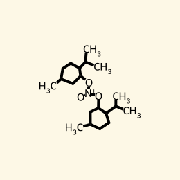 CC1CCC(C(C)C)C(O[N+](=O)OC2CC(C)CCC2C(C)C)C1